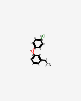 N#CCc1cccc(Oc2ccc(Cl)cc2)c1